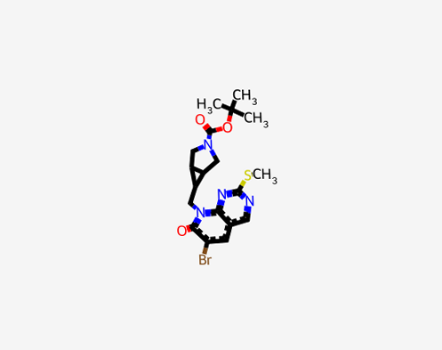 CSc1ncc2cc(Br)c(=O)n(CC3C4CN(C(=O)OC(C)(C)C)CC43)c2n1